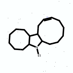 CCN1C2CCCCC/C=C\CC2C2CCCCCCC21